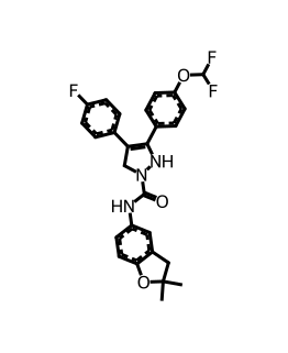 CC1(C)Cc2cc(NC(=O)N3CC(c4ccc(F)cc4)=C(c4ccc(OC(F)F)cc4)N3)ccc2O1